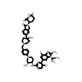 Cc1nc2c(F)cc(-c3nc(N[C@@H]4CCN(c5ccc(CN6CCC(O)(c7ccc8c(c7)CN(C7CCC(=O)NC7=O)C8=O)CC6)cc5)C[C@H]4O)ncc3Cl)cc2n1C(C)C